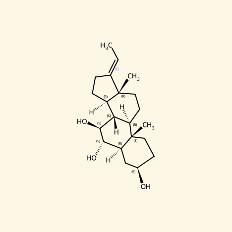 C/C=C1\CC[C@@H]2[C@H]3[C@H](O)[C@@H](O)[C@@H]4C[C@H](O)CC[C@@]4(C)[C@@H]3CC[C@@]12C